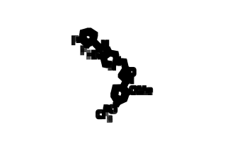 COc1cc(OCC(F)(F)F)ccc1-c1cc(CN2Cc3nc(-c4cccc(F)c4F)[nH]c3C=N2)on1